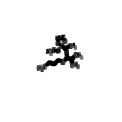 CC[Si](OC)(OC)OC.[CH2]CCCOC(=O)C(=C)C